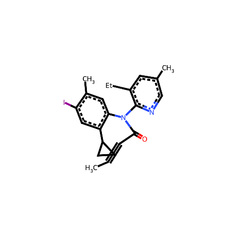 CC#CC(=O)N(c1cc(C)c(I)cc1C1CC1)c1ncc(C)cc1CC